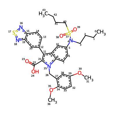 CCCCN(c1ccc2c(c1)c(-c1ccc3nsnc3c1)c(C(=O)O)n2Cc1cc(OC)ccc1OC)S(=O)(=O)CCCC